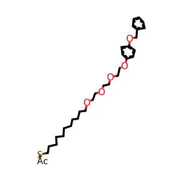 CC(=O)SCCCCCCCCCCCOCCOCCOCCOc1ccc(OCc2ccccc2)cc1